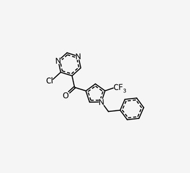 O=C(c1cc(C(F)(F)F)n(Cc2ccccc2)c1)c1cncnc1Cl